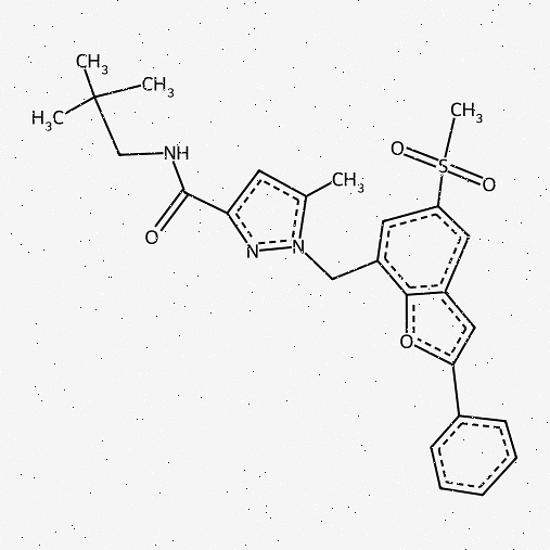 Cc1cc(C(=O)NCC(C)(C)C)nn1Cc1cc(S(C)(=O)=O)cc2cc(-c3ccccc3)oc12